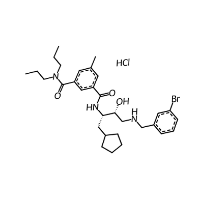 CCCN(CCC)C(=O)c1cc(C)cc(C(=O)N[C@@H](CC2CCCC2)[C@H](O)CNCc2cccc(Br)c2)c1.Cl